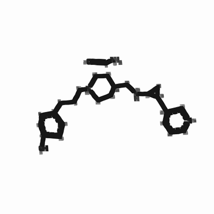 NC=O.Oc1ccc(CCCN2CCC(CNC3CC3c3cccnc3)CC2)cc1